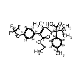 CCOC(=O)C(=C(C)CCC(C(=O)O)(c1ccc(C)cc1)C(C)C)c1ccc(OC(F)(F)F)cc1